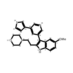 COc1ccc2[nH]c(CCN3CCOCC3)c(-c3cncc(-c4ccsc4)c3)c2c1